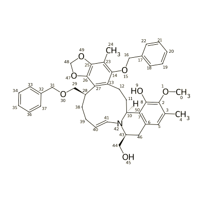 COc1c(C)cc2c(c1O)[C@@H]1CCc3c(OCc4ccccc4)c(C)c4c(c3[C@H](COCc3ccccc3)CC/C=C/N1[C@H](CO)C2)OCO4